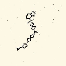 O=C(N1CC2(CC(n3cnc(C4CC4)n3)C2)C1)N1CC2(C1)CN(S(=O)(=O)c1cccc3nonc13)C2